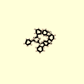 c1ccc(-c2nc(-c3ccccc3)nc(-n3c4ccccc4c4cc5sc6ccc7oc8ccccc8c7c6c5cc43)n2)cc1